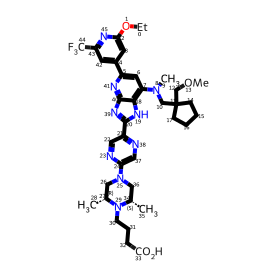 CCOc1cc(-c2cc(N(C)CC3(COC)CCCC3)c3[nH]c(-c4cnc(N5C[C@@H](C)N(CCCC(=O)O)[C@@H](C)C5)cn4)nc3n2)cc(C(F)(F)F)n1